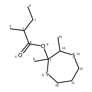 CCC(C)C(=O)OC1(C)SCCCSC1C